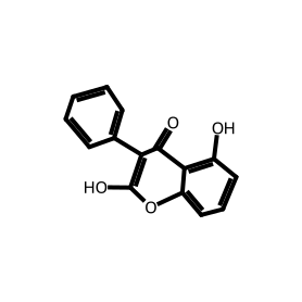 O=c1c(-c2ccccc2)c(O)oc2cccc(O)c12